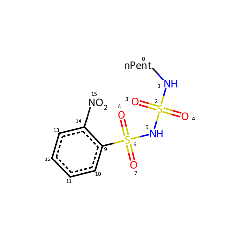 CCCCCNS(=O)(=O)NS(=O)(=O)c1ccccc1[N+](=O)[O-]